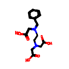 O=C(O)CN(CCN(CC(=O)O)Cc1ccccc1)CC(=O)O